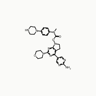 CN(C(=O)ON1CCc2c(-c3cnc(N)nc3)nc(N3CCOCC3)nc21)c1ccc(N2CCNCC2)cc1